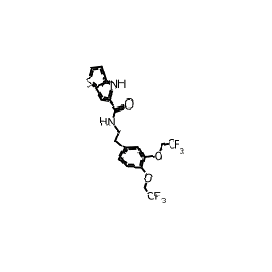 O=C(NCCc1ccc(OCC(F)(F)F)c(OCC(F)(F)F)c1)c1cc2sccc2[nH]1